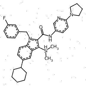 C[SiH](C)c1c(C(=O)Nc2ccc(N3CCCC3)nc2)n(Cc2cccc(F)c2)c2ccc(C3CCCCC3)cc12